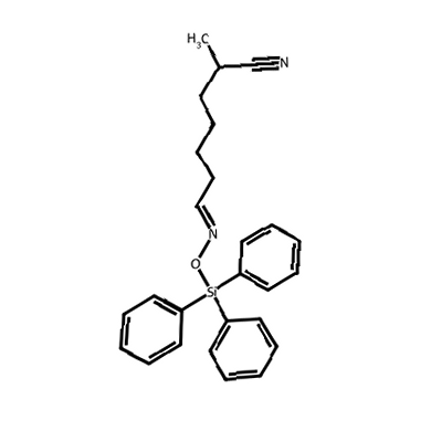 CC(C#N)CCCCC=NO[Si](c1ccccc1)(c1ccccc1)c1ccccc1